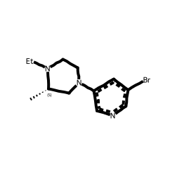 CCN1CCN(c2cncc(Br)c2)C[C@@H]1C